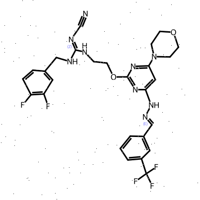 N#C/N=C(\NCCOc1nc(N/N=C/c2cccc(C(F)(F)F)c2)cc(N2CCOCC2)n1)NCc1ccc(F)c(F)c1